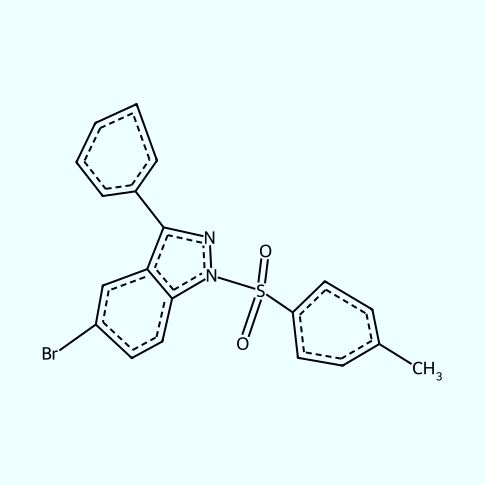 Cc1ccc(S(=O)(=O)n2nc(-c3ccccc3)c3cc(Br)ccc32)cc1